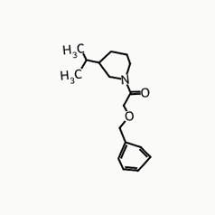 CC(C)C1CCCN(C(=O)COCc2ccccc2)C1